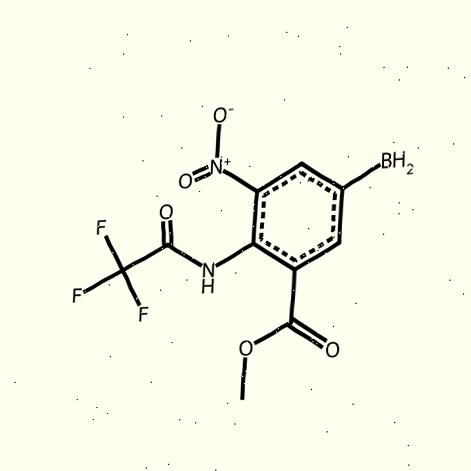 Bc1cc(C(=O)OC)c(NC(=O)C(F)(F)F)c([N+](=O)[O-])c1